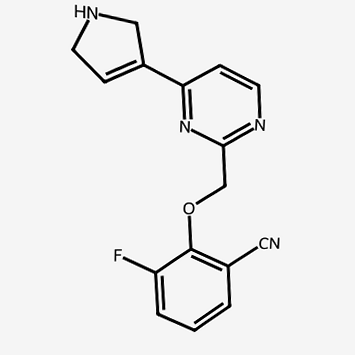 N#Cc1cccc(F)c1OCc1nccc(C2=CCNC2)n1